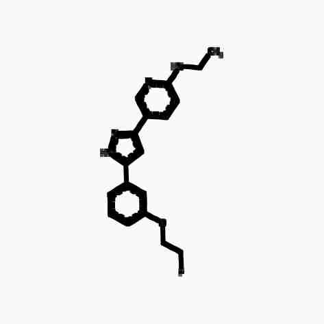 CCNc1ccc(-c2cc(-c3cccc(OCCF)c3)[nH]n2)cn1